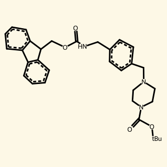 CC(C)(C)OC(=O)N1CCN(Cc2ccc(CNC(=O)OCC3c4ccccc4-c4ccccc43)cc2)CC1